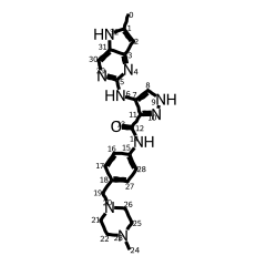 Cc1cc2nc(Nc3c[nH]nc3C(=O)Nc3ccc(CN4CCN(C)CC4)cc3)ncc2[nH]1